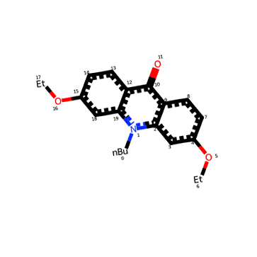 CCCCn1c2cc(OCC)ccc2c(=O)c2ccc(OCC)cc21